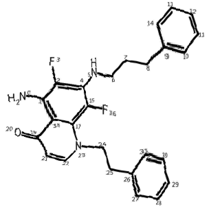 Nc1c(F)c(NCCCc2ccccc2)c(F)c2c1c(=O)ccn2CCc1ccccc1